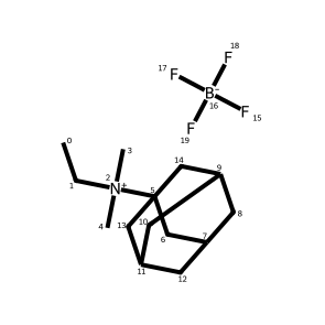 CC[N+](C)(C)C12CC3CC(CC(C3)C1)C2.F[B-](F)(F)F